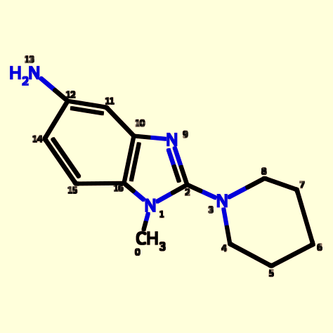 Cn1c(N2CCCCC2)nc2cc(N)ccc21